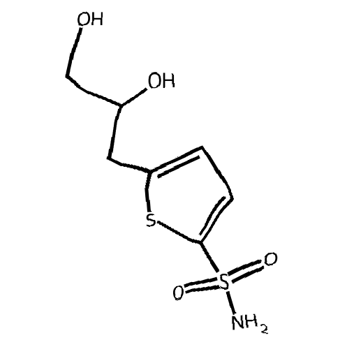 NS(=O)(=O)c1ccc(CC(O)CO)s1